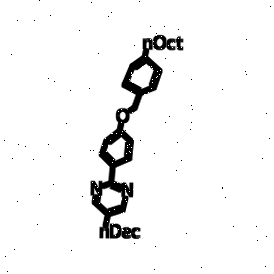 CCCCCCCCCCc1cnc(-c2ccc(OCc3ccc(CCCCCCCC)cc3)cc2)nc1